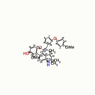 COc1ccc(Oc2cccc(/C=C3\Oc4ccc(O)c(OC)c4-c4ccc5c(c43)C(C)=CC(C)(C)N5)c2)cc1